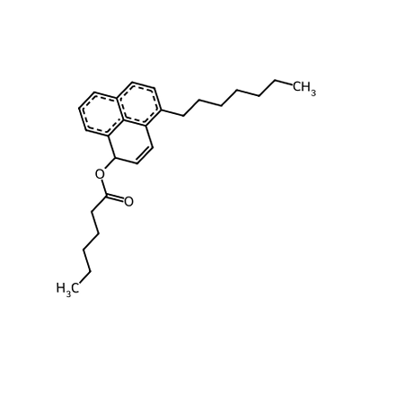 CCCCCCCc1ccc2cccc3c2c1C=CC3OC(=O)CCCCC